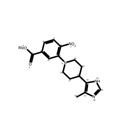 COC(=O)c1ccc([N+](=O)[O-])c(N2CCC(c3[nH]cnc3C)CC2)c1